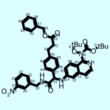 CC(C)(C)OC(=O)N(OC(C)(C)C)c1nccc2cc(NC(C(=O)NCc3cccc([N+](=O)[O-])c3)c3ccc(CCC(=O)OCc4ccccc4)cc3)ccc12